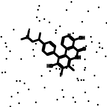 Cc1c(F)c(O)c(-c2ccc(C(C)CN(C)C)cc2)c2c1[nH]c(=O)c1c(O)nccc12